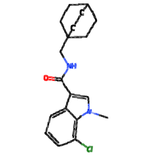 Cn1cc(C(=O)NCC23CCC(CC2)CC3)c2cccc(Cl)c21